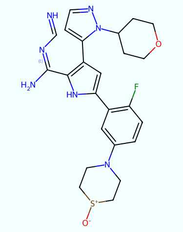 N=C/N=C(/N)c1[nH]c(-c2cc(N3CC[S+]([O-])CC3)ccc2F)cc1-c1ccnn1C1CCOCC1